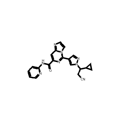 N#CCC(C1CC1)n1cc(-c2nc(C(=O)Nc3ccccn3)cc3nccn23)cn1